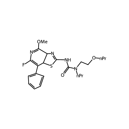 CCCOCCN(CCC)C(=O)NC1=NC2C(OC)=NC(F)=C(c3ccccc3)C2S1